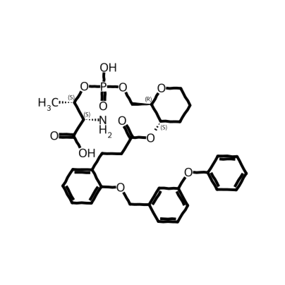 C[C@H](OP(=O)(O)OC[C@H]1OCCC[C@@H]1OC(=O)CCc1ccccc1OCc1cccc(Oc2ccccc2)c1)[C@H](N)C(=O)O